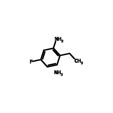 CCc1ccc(F)cc1N.N